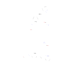 CN(CC(=O)[O-])c1ccc(C=Cc2cccc[n+]2CCCC(=O)NCCSSCCNC(=O)CCC[n+]2ccccc2C=Cc2ccc(N(C)CC(=O)[O-])cc2)cc1